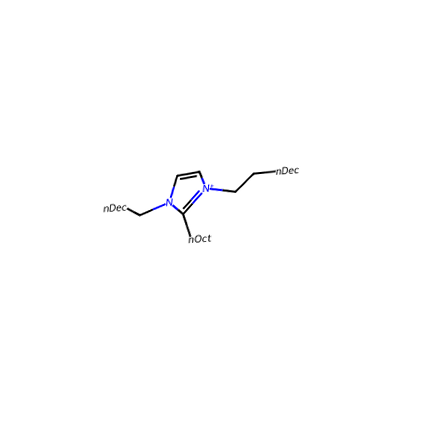 CCCCCCCCCCCC[n+]1ccn(CCCCCCCCCCC)c1CCCCCCCC